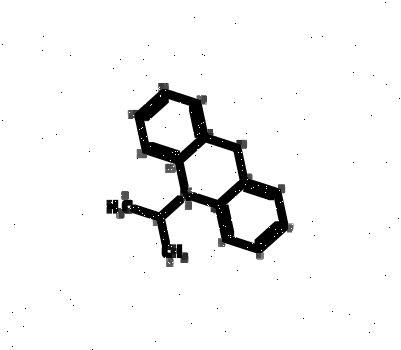 CC(C)N1c2ccccc2Cc2ccccc21